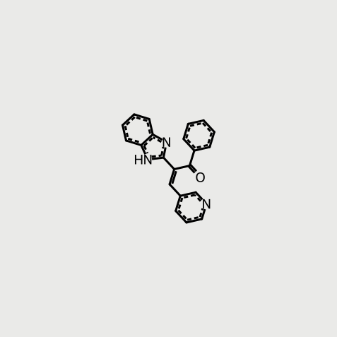 O=C(C(=Cc1cccnc1)c1nc2ccccc2[nH]1)c1ccccc1